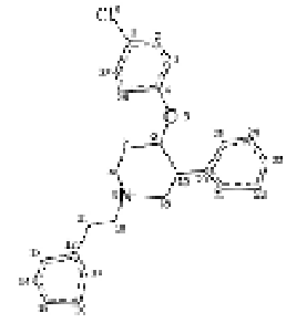 Clc1ccc(OC2CCN(CCc3ccccc3)CC2c2ccccc2)cc1